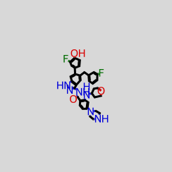 O=C(Nc1n[nH]c2cc(-c3ccc(O)c(F)c3)c(Cc3cccc(F)c3)cc12)c1ccc(N2CCNCC2)cc1NC1CCOCC1